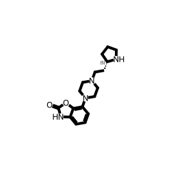 O=c1[nH]c2cccc(N3CCN(CC[C@@H]4CCCN4)CC3)c2o1